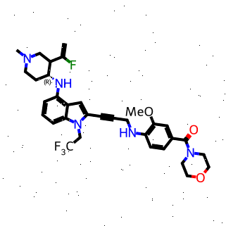 C=C(F)C1CN(C)CC[C@H]1Nc1cccc2c1cc(C#CCNc1ccc(C(=O)N3CCOCC3)cc1OC)n2CC(F)(F)F